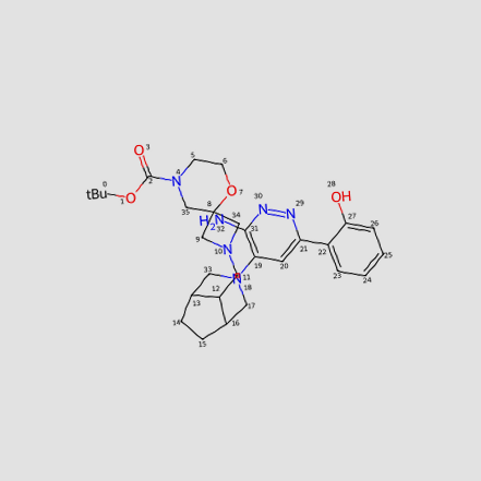 CC(C)(C)OC(=O)N1CCOC2(CN(CC3C4CCC3CN(c3cc(-c5ccccc5O)nnc3N)C4)C2)C1